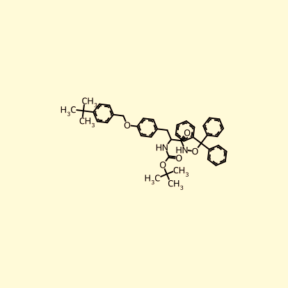 CC(C)(C)OC(=O)NC(Cc1ccc(OCc2ccc(C(C)(C)C)cc2)cc1)C(=O)NOC(c1ccccc1)(c1ccccc1)c1ccccc1